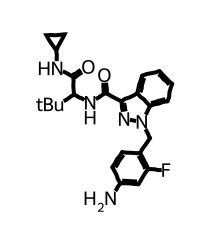 CC(C)(C)C(NC(=O)c1nn(Cc2ccc(N)cc2F)c2ccccc12)C(=O)NC1CC1